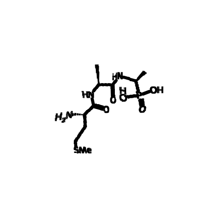 CSCC[C@H](N)C(=O)N[C@@H](C)C(=O)N[C@@H](C)P(=O)(O)O